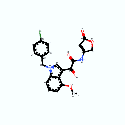 COc1cccc2c1c(C(=O)C(=O)NC1=CC(=O)OC1)cn2Cc1ccc(Cl)cc1